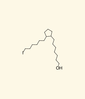 OCCCCCCCC1CCCC1CCCCCCI